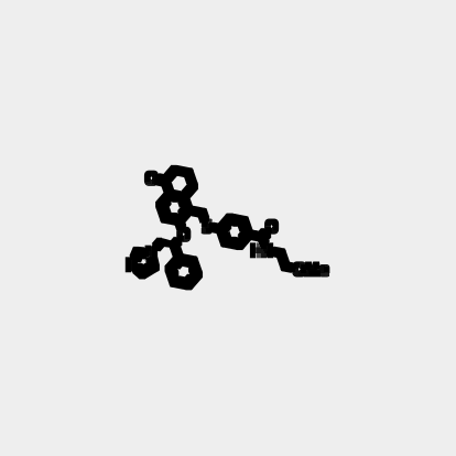 COCCNC(=O)c1ccc(SCc2c(O[C@H](Cn3ccnc3)c3ccccc3)ccc3c2CCCC3=O)cc1